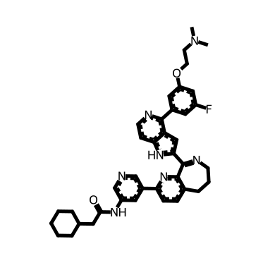 CN(C)CCOc1cc(F)cc(-c2nccc3[nH]c(C4=NCCCc5ccc(-c6cncc(NC(=O)CC7CCCCC7)c6)nc54)cc23)c1